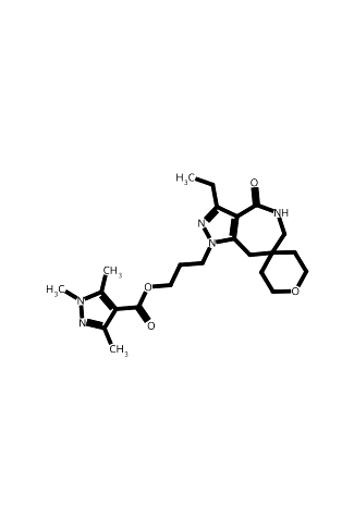 CCc1nn(CCCOC(=O)c2c(C)nn(C)c2C)c2c1C(=O)NCC1(CCOCC1)C2